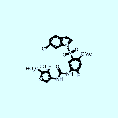 COc1cc(F)c(NC(=O)Nc2csc(C(=O)O)c2C(=O)O)cc1S(=O)(=O)n1ccc2ccc(Cl)cc21